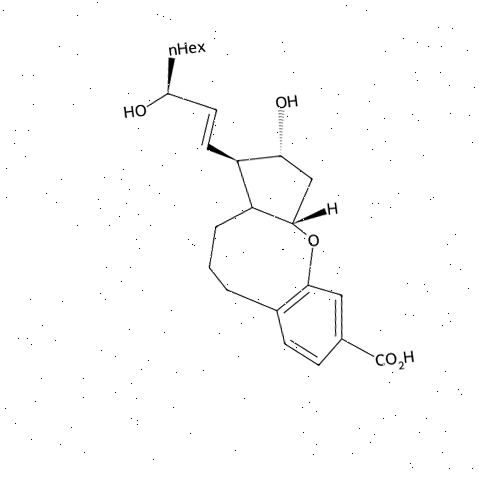 CCCCCC[C@H](O)/C=C/[C@@H]1C2CCCc3ccc(C(=O)O)cc3O[C@H]2C[C@H]1O